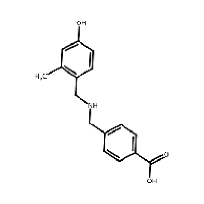 Cc1cc(O)ccc1CNCc1ccc(C(=O)O)cc1